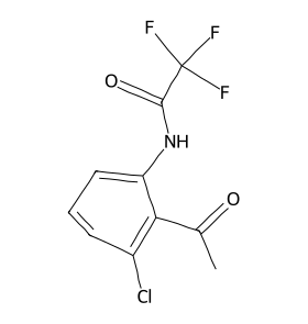 CC(=O)c1c(Cl)cccc1NC(=O)C(F)(F)F